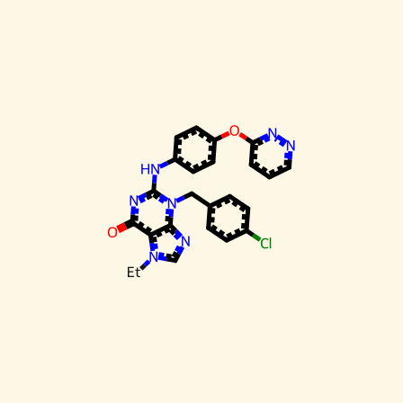 CCn1cnc2c1c(=O)nc(Nc1ccc(Oc3cccnn3)cc1)n2Cc1ccc(Cl)cc1